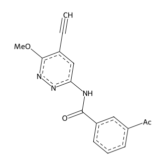 C#Cc1cc(NC(=O)c2cccc(C(C)=O)c2)nnc1OC